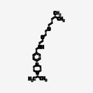 CC(C)CCCOCCOCCNCc1ccc(N2CCN(C(C)C)CC2)cc1